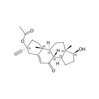 C#C[C@]1(OC(C)=O)CC[C@@]2(C)C(=CC(=O)[C@H]3[C@@H]4CC[C@H](O)[C@@]4(C)CC[C@@H]32)C1